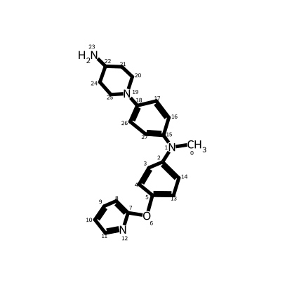 CN(c1ccc(Oc2ccccn2)cc1)c1ccc(N2CCC(N)CC2)cc1